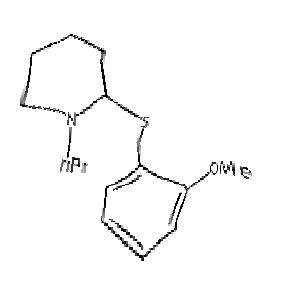 CCCN1CCCCC1Sc1ccccc1OC